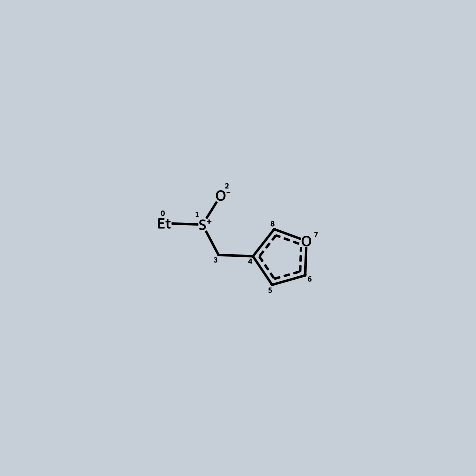 CC[S+]([O-])Cc1ccoc1